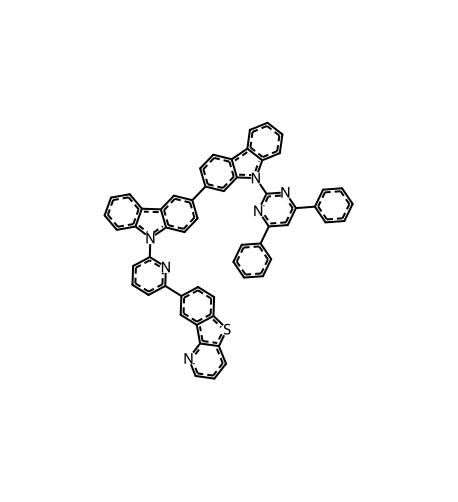 c1ccc(-c2cc(-c3ccccc3)nc(-n3c4ccccc4c4ccc(-c5ccc6c(c5)c5ccccc5n6-c5cccc(-c6ccc7sc8cccnc8c7c6)n5)cc43)n2)cc1